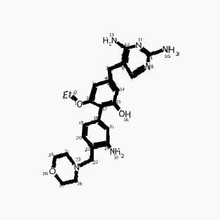 CCOc1cc(Cc2cnc(N)nc2N)cc(O)c1-c1ccc(CN2CCOCC2)c(N)c1